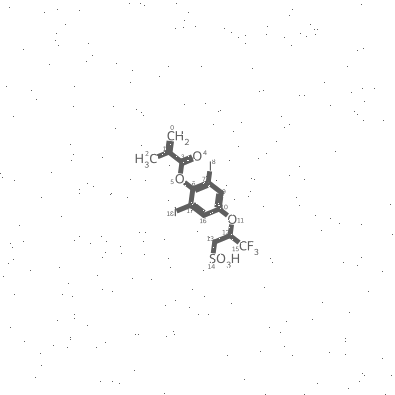 C=C(C)C(=O)Oc1c(I)cc(OC(CS(=O)(=O)O)C(F)(F)F)cc1I